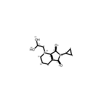 O=C1C2=C(C(=O)N1C1CC1)N(CC(O)O)CCC2